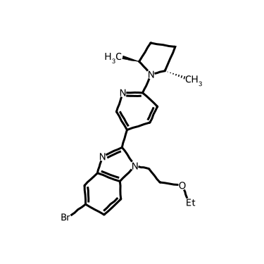 CCOCCn1c(-c2ccc(N3[C@@H](C)CC[C@@H]3C)nc2)nc2cc(Br)ccc21